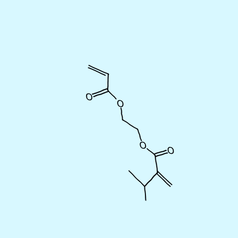 C=CC(=O)OCCOC(=O)C(=C)C(C)C